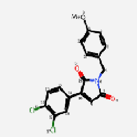 COc1ccc(CN2C(=O)C=C(c3ccc(Cl)c(Cl)c3)C2=O)cc1